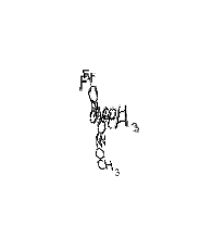 CC(C)(O)c1cc2nn([C@H]3CC[C@H](C)CC3)cc2cc1NC(=O)c1ccc(C(F)(F)F)cc1